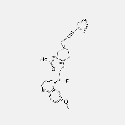 COc1ccc2nccc([C@@H](F)CC[C@@H]3CCN(CC#Cc4cccs4)C[C@@H]3C(=O)O)c2c1